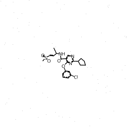 CC(C=CS(C)(=O)=O)NC(=O)c1cnc(C2CCCC2)nc1Oc1cccc(Cl)c1